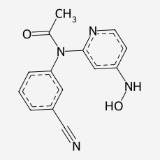 CC(=O)N(c1cccc(C#N)c1)c1cc(NO)ccn1